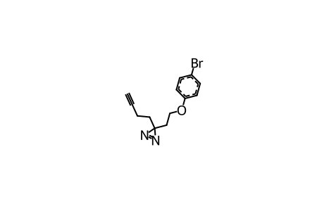 C#CCCC1(CCOc2ccc(Br)cc2)N=N1